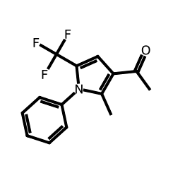 CC(=O)c1cc(C(F)(F)F)n(-c2ccccc2)c1C